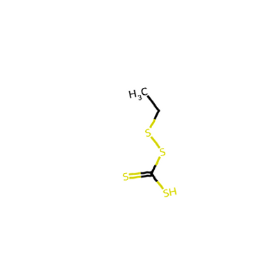 CCSSC(=S)S